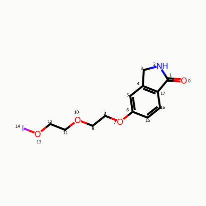 O=C1NCc2cc(OCCOCCOI)ccc21